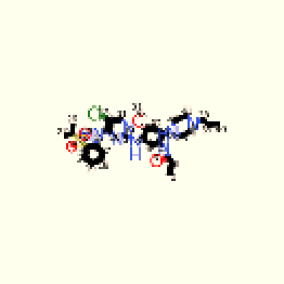 C=CC(=O)Nc1cc(Nc2ncc(Cl)c(Nc3ccccc3S(=O)(=O)C(C)C)n2)c(OC)cc1N1CCN(CCC)CC1